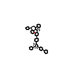 c1ccc(-c2ccc(-c3cc(-c4ccc(-c5ccc(-c6nc7ccccc7c7c6-c6ccccc6C(c6ccccc6)CC7)cc5)cc4)nc(-c4ccccc4)n3)cc2)cc1